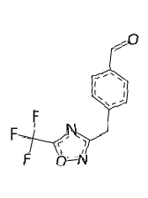 O=Cc1ccc(Cc2noc(C(F)(F)F)n2)cc1